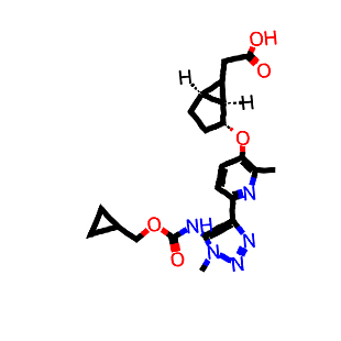 Cc1nc(-c2nnn(C)c2NC(=O)OCC2CC2)ccc1O[C@@H]1CC[C@H]2C(CC(=O)O)[C@@H]12